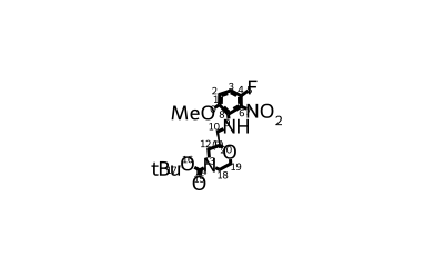 COc1ccc(F)c([N+](=O)[O-])c1NC[C@@H]1CN(C(=O)OC(C)(C)C)CCO1